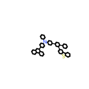 c1ccc(-c2ccc(-c3ccc(N(c4ccccc4)c4ccc(-c5cc6ccccc6c6ccccc56)cc4)cc3)cc2-c2ccc3sc4ccccc4c3c2)cc1